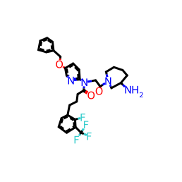 NC1CCCCN(C(=O)CN(C(=O)CCCc2cccc(C(F)(F)F)c2F)c2ccc(OCc3ccccc3)cn2)C1